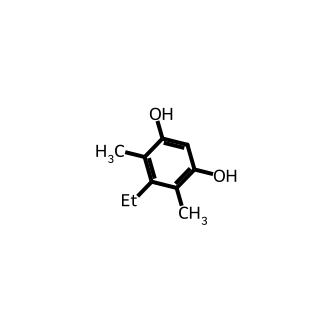 CCc1c(C)c(O)cc(O)c1C